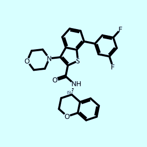 O=C(N[C@H]1CCOc2ccccc21)c1sc2c(-c3cc(F)cc(F)c3)cccc2c1N1CCOCC1